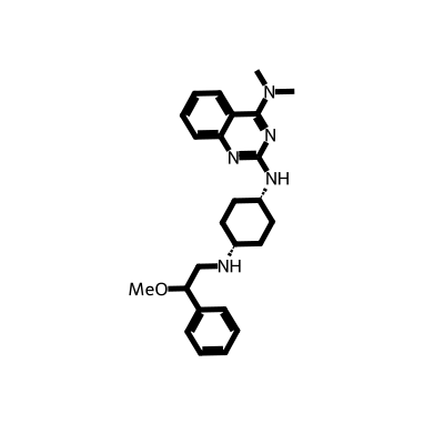 COC(CN[C@H]1CC[C@@H](Nc2nc(N(C)C)c3ccccc3n2)CC1)c1ccccc1